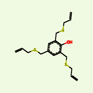 C=CCSCc1cc(CSCC=C)c(O)c(CSCC=C)c1